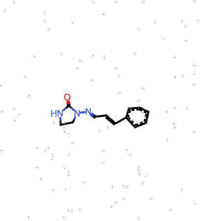 O=C1NCCN1/N=C/C=C/c1ccccc1